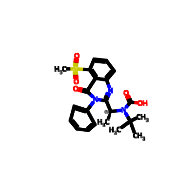 C[C@@H](c1nc2cccc(S(C)(=O)=O)c2c(=O)n1-c1ccccc1)N(C(=O)O)C(C)(C)C